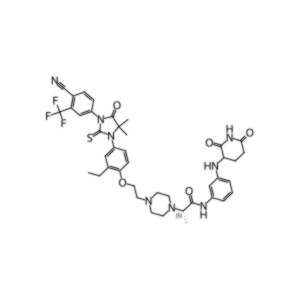 CCc1cc(N2C(=S)N(c3ccc(C#N)c(C(F)(F)F)c3)C(=O)C2(C)C)ccc1OCCN1CCN([C@@H](C)C(=O)Nc2cccc(NC3CCC(=O)NC3=O)c2)CC1